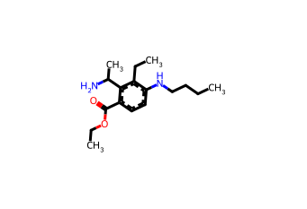 CCCCNc1ccc(C(=O)OCC)c(C(C)N)c1CC